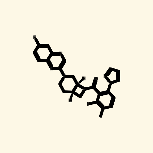 Cc1ccc(-n2cccn2)c(C(=O)N2C[C@H]3CCN(c4cnc5cc(F)ccc5n4)C[C@H]32)c1F